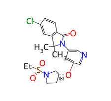 CCS(=O)(=O)N1CC[C@@H](Oc2cncc(N3C(=O)c4ccc(Cl)cc4C3(C)C)c2)C1